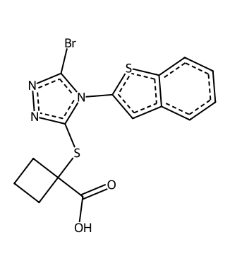 O=C(O)C1(Sc2nnc(Br)n2-c2cc3ccccc3s2)CCC1